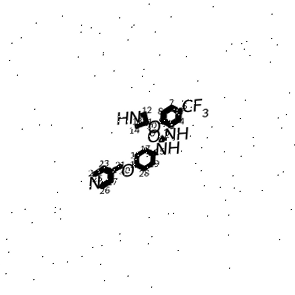 O=C(Nc1cc(C(F)(F)F)ccc1OC1CNC1)NC1CCC(OCc2ccncc2)CC1